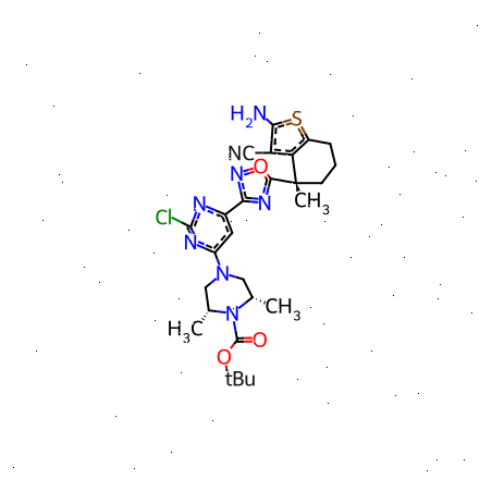 C[C@@H]1CN(c2cc(-c3noc([C@@]4(C)CCCc5sc(N)c(C#N)c54)n3)nc(Cl)n2)C[C@H](C)N1C(=O)OC(C)(C)C